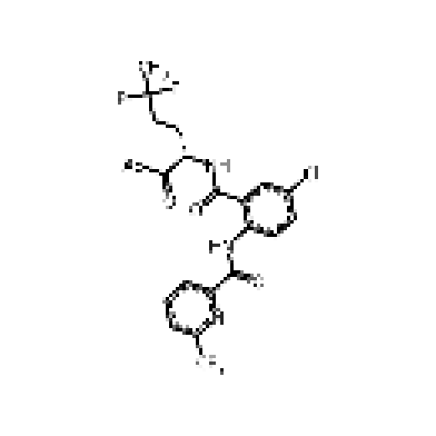 CC(=O)C(=O)[C@H](CCC(C)(F)F)NC(=O)c1cc(Cl)ccc1NC(=O)c1cccc(C(F)(F)F)n1